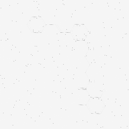 O=C(NCCCNc1nccc(C=Cc2ccccc2)n1)c1c(Cl)cccc1Cl